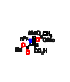 CCCN([SiH2]OC(C)(OC)OC)C(CC(=O)O)C(=O)OC(C)CC